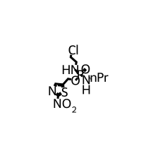 CCCNP(=O)(NCCCl)OCc1cnc([N+](=O)[O-])s1